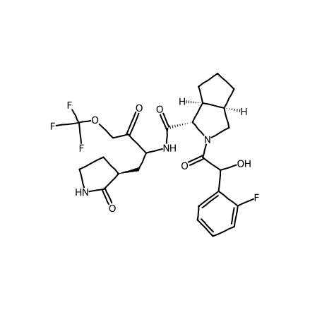 O=C(COC(F)(F)F)C(C[C@@H]1CCNC1=O)NC(=O)[C@@H]1[C@H]2CCC[C@H]2CN1C(=O)C(O)c1ccccc1F